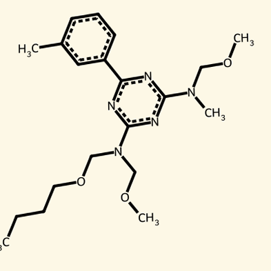 CCCCOCN(COC)c1nc(-c2cccc(C)c2)nc(N(C)COC)n1